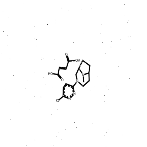 CN1C2CCC1CN(c1ccc(Cl)nn1)CC2.O=C(O)/C=C/C(=O)O